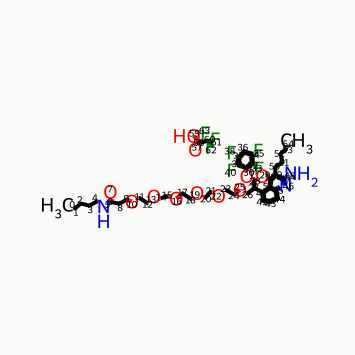 CCCCCNC(=O)CCOCCOCCOCCOCCOCCOCC(C(=O)Oc1c(F)c(F)cc(F)c1F)c1cccc2nc(N)c(CCCCC)cc12.O=C(O)C(F)(F)F